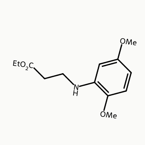 CCOC(=O)CCNc1cc(OC)ccc1OC